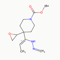 C=NN/C(=C\C)C1(C2CO2)CCN(C(=O)OC(C)(C)C)CC1